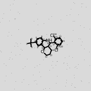 CC(C)(C)c1ccc2c(c1)C1OCCCC1C(c1c(Cl)cccc1Cl)N2